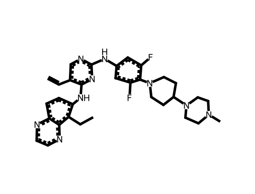 C=Cc1cnc(Nc2cc(F)c(N3CCC(N4CCN(C)CC4)CC3)c(F)c2)nc1Nc1ccc2nccnc2c1CC